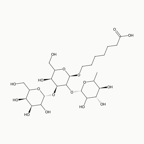 CC1O[C@@H](OC2[C@H](OCCCCCCC(=O)O)OC(CO)[C@H](O)[C@@H]2O[C@H]2OC(CO)[C@H](O)[C@H](O)C2O)C(O)[C@@H](O)[C@@H]1O